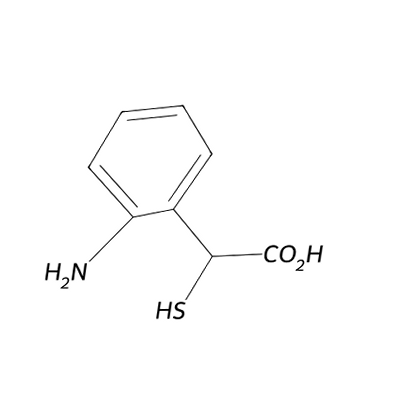 Nc1ccccc1C(S)C(=O)O